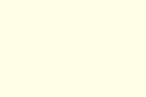 Oc1c(Cc2ccccc2)cc(Cc2ccc(-c3ccccc3)cc2)c(O)c1O